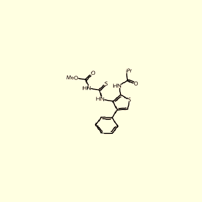 COC(=O)NC(=S)Nc1c(-c2ccccc2)csc1NC(=O)C(C)C